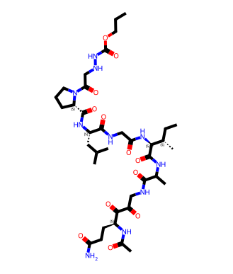 CCCOC(=O)NNCC(=O)N1CCC[C@H]1C(=O)N[C@@H](CC(C)C)C(=O)NCC(=O)N[C@H](C(=O)NC(C)C(=O)NCC(=O)C(=O)[C@H](CCC(N)=O)NC(C)=O)[C@@H](C)CC